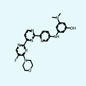 CN(C)c1cc(O)cc(Nc2ccc(-c3nccc(-c4ncc(F)c(N5CCOCC5)n4)n3)nc2)c1